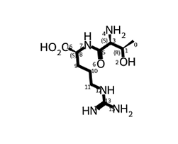 C[C@@H](O)[C@H](N)C(=O)N[C@@H](CCCNC(=N)N)C(=O)O